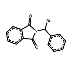 O=C1c2ccccc2C(=O)N1C(Br)c1ccccc1